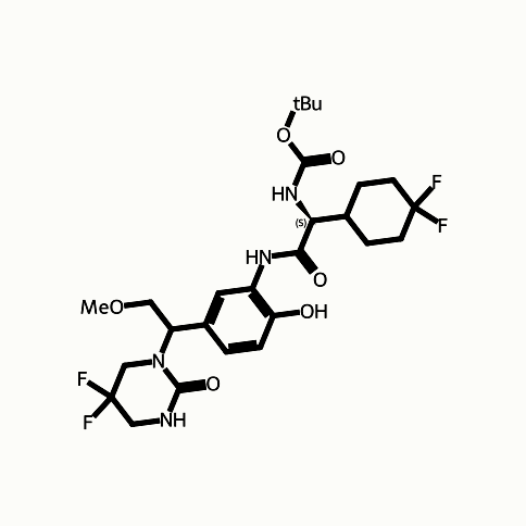 COCC(c1ccc(O)c(NC(=O)[C@@H](NC(=O)OC(C)(C)C)C2CCC(F)(F)CC2)c1)N1CC(F)(F)CNC1=O